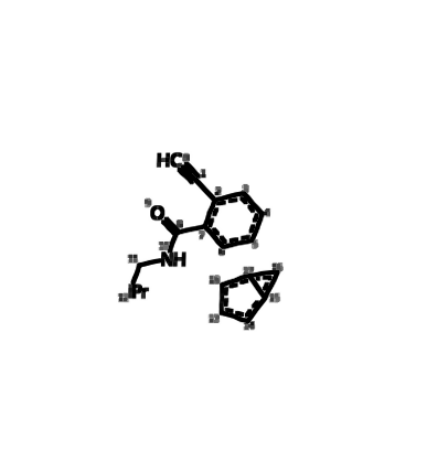 C#Cc1ccccc1C(=O)NCC(C)C.c1cc2cc-2c1